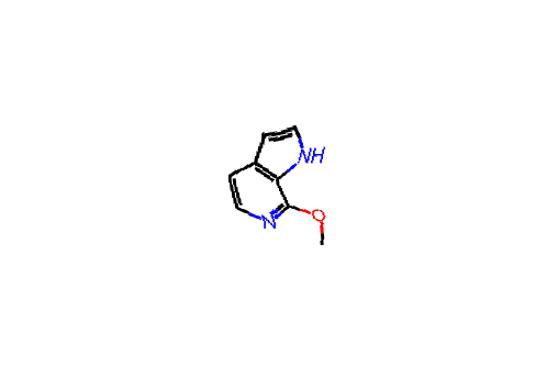 COc1nccc2cc[nH]c12